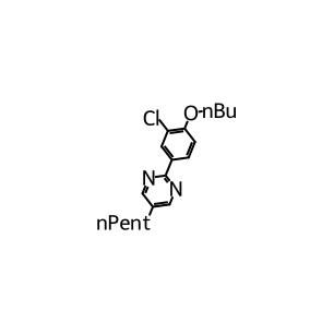 CCCCCc1cnc(-c2ccc(OCCCC)c(Cl)c2)nc1